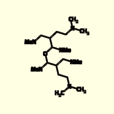 CNCC(CCN(C)C)C(NC)OC(NC)C(CCN(C)C)CNC